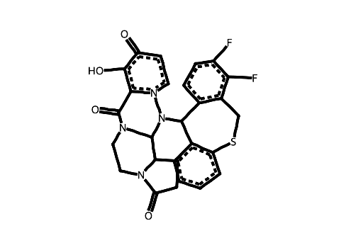 O=C1CCC2C3N(CCN12)C(=O)c1c(O)c(=O)ccn1N3C1c2ccccc2SCc2c1ccc(F)c2F